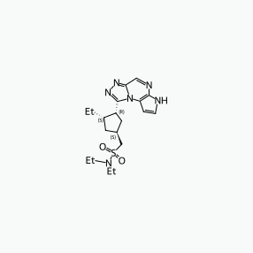 CC[C@H]1C[C@H](CS(=O)(=O)N(CC)CC)C[C@H]1c1nnc2cnc3[nH]ccc3n12